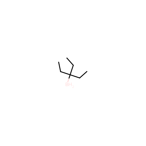 BC(CC)(CC)CC